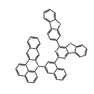 c1ccc2cc3c(cc2c1)-c1cccc2cccc(c12)N3c1cc(-c2nc(-c3ccc4c(c3)sc3ccccc34)c3sc4ccccc4c3n2)c2ccccc2c1